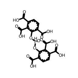 O=C(O)c1ccc(C(=O)O)c(C(=O)O)c1O[PH](=O)Oc1c(C(=O)O)ccc(C(=O)O)c1C(=O)O